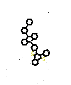 c1ccc(-c2cccc(-c3c4ccccc4c(-c4ccc5c(c4)sc4c6ccccc6c6sc7ccccc7c6c54)c4ccccc34)c2)cc1